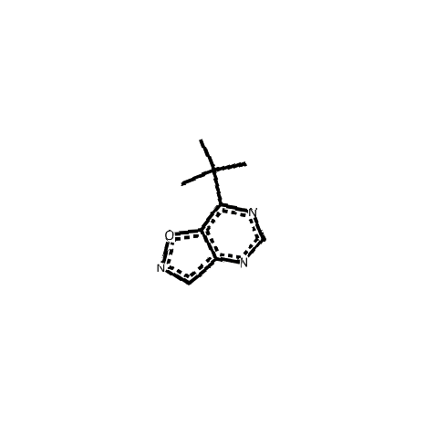 CC(C)(C)c1ncnc2cnoc12